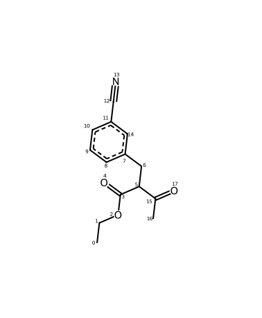 CCOC(=O)C(Cc1cccc(C#N)c1)C(C)=O